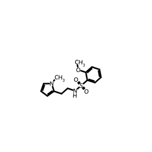 COc1ccccc1S(=O)(=O)NCCc1cccn1C